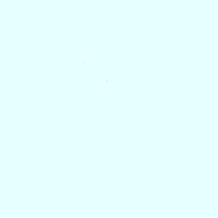 CS(C)(F)CCCCCC#N